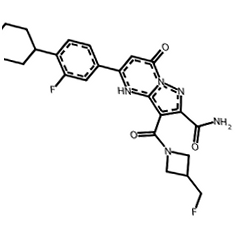 NC(=O)c1nn2c(=O)cc(-c3ccc(C4CCCCC4)c(F)c3)[nH]c2c1C(=O)N1CC(CF)C1